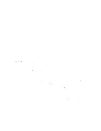 [2H]C1([2H])OC2CN(C(=O)c3ccc(OCCOC(F)(F)F)c(OC)n3)CC[C@]2(c2cccc(F)c2)O1